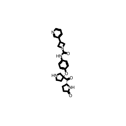 O=C1CC[C@H](C(=O)[C@@]2(Oc3ccc(NC(=O)N4CC(c5cccnc5)C4)cc3)CCNC2)N1